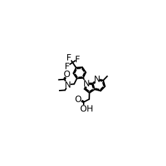 CCN(Cc1cc(C(F)(F)F)ccc1-n1cc(CC(=O)O)c2ccc(C)nc21)C(C)=O